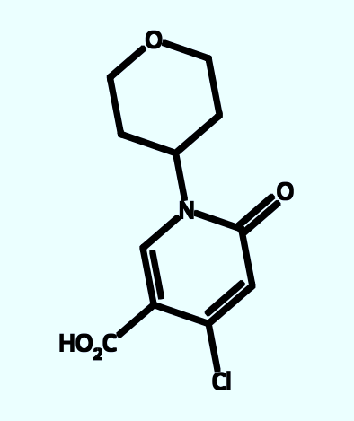 O=C(O)c1cn(C2CCOCC2)c(=O)cc1Cl